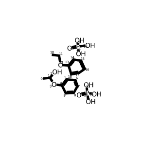 CC(O)Oc1ccccc1.CCOc1ccccc1.O=P(O)(O)O.O=P(O)(O)O